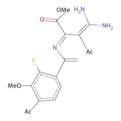 C=C(/N=C(/C(=O)OC)C(C(C)=O)=C(N)N)c1ccc(C(C)=O)c(OC)c1F